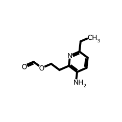 CCc1ccc(N)c(CCOC=O)n1